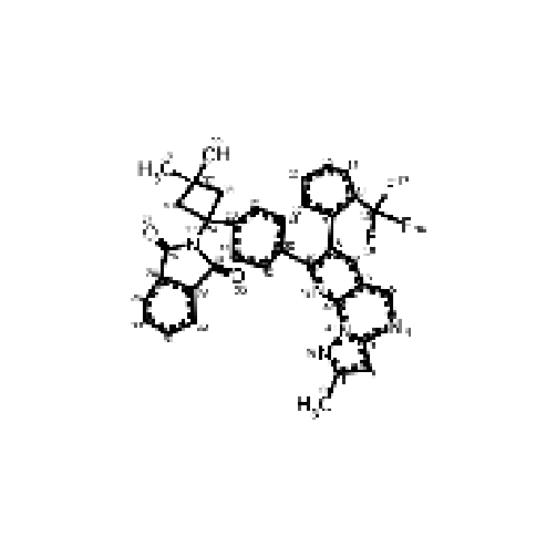 Cc1cc2ncc3cc(-c4ccccc4C(F)(F)F)c(-c4ccc([C@]5(N6C(=O)c7ccccc7C6=O)C[C@@](C)(O)C5)cc4)nc3n2n1